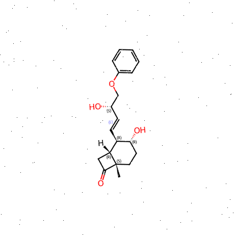 C[C@]12CC[C@@H](O)[C@H](/C=C/[C@H](O)COc3ccccc3)[C@H]1CC2=O